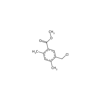 COC(=O)c1cc(CCl)c(C)cc1C